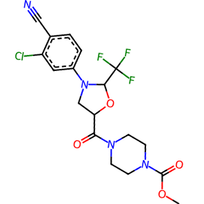 COC(=O)N1CCN(C(=O)C2CN(c3ccc(C#N)c(Cl)c3)C(C(F)(F)F)O2)CC1